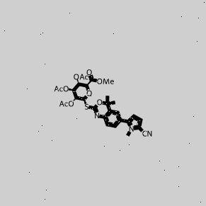 COC(=O)[C@H]1O[C@@H](SC2=Nc3ccc(-c4ccc(C#N)n4C)cc3C(C)(C)O2)[C@H](OC(C)=O)[C@@H](OC(C)=O)[C@@H]1OC(C)=O